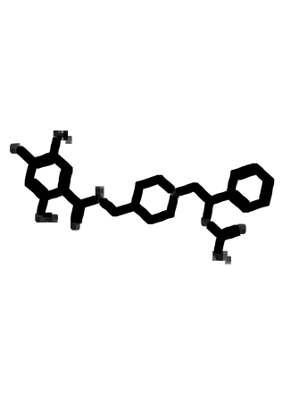 COc1cc(Cl)c(N)cc1C(=O)NCC1CCN(CC(OC(N)=O)c2ccccc2)CC1